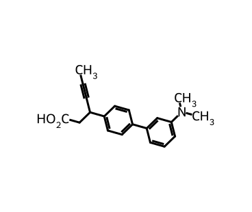 CC#CC(CC(=O)O)c1ccc(-c2cccc(N(C)C)c2)cc1